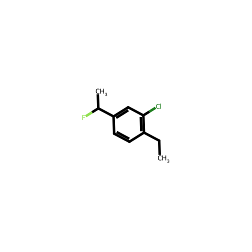 CCc1ccc(C(C)F)cc1Cl